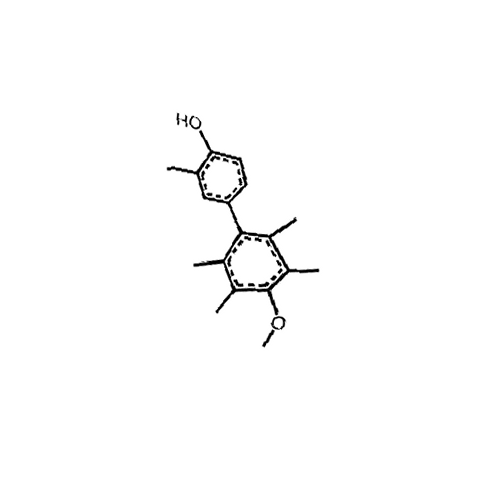 COc1c(C)c(C)c(-c2ccc(O)c(C)c2)c(C)c1C